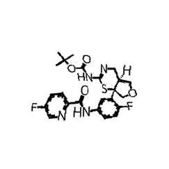 CC(C)(C)OC(=O)NC1=NC[C@H]2COC[C@]2(c2cc(NC(=O)c3ccc(F)cn3)ccc2F)S1